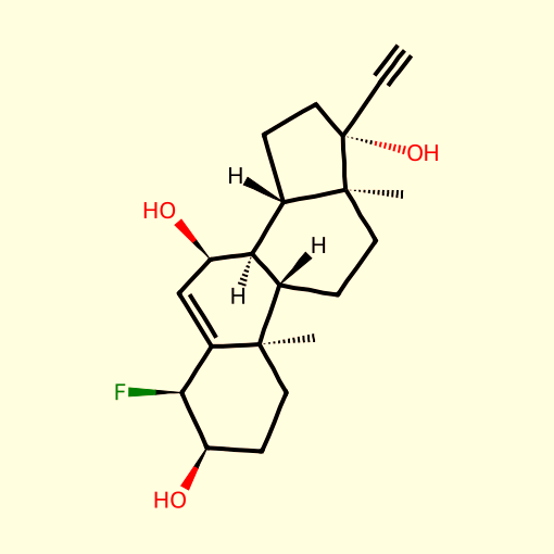 C#C[C@]1(O)CC[C@H]2[C@@H]3[C@H](O)C=C4[C@H](F)[C@H](O)CC[C@]4(C)[C@H]3CC[C@@]21C